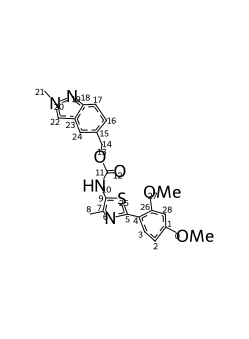 COc1ccc(-c2nc(C)c(NC(=O)OCc3ccc4nn(C)cc4c3)s2)c(OC)c1